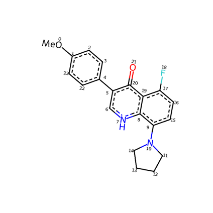 COc1ccc(-c2c[nH]c3c(N4CCCC4)ccc(F)c3c2=O)cc1